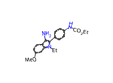 CCOC(=O)Nc1ccc(-c2c(N)c3ccc(OC)cc3n2CC)cc1